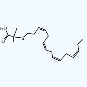 CC/C=C\C/C=C\C/C=C\C/C=C\CCSC(C)(C)C(=O)O